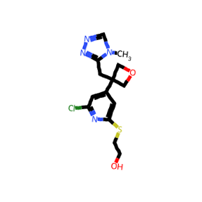 Cn1cnnc1CC1(c2cc(Cl)nc(SCCO)c2)COC1